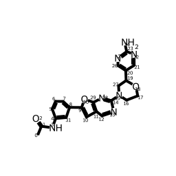 CC(=O)Nc1cccc(-c2cc3cnc(N4CCOC(c5cnc(N)nc5)C4)nc3o2)c1